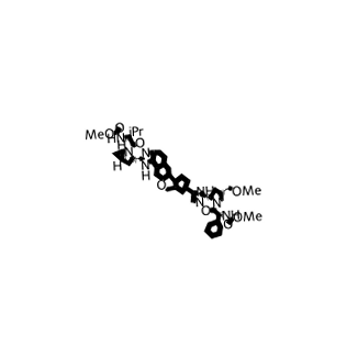 COC[C@H]1C[C@@H](c2ncc(-c3ccc4c(c3)COc3cc5c(ccc6nc([C@@H]7C[C@@H]8C[C@@H]8N7C(=O)[C@@H](NC(=O)OC)C(C)C)[nH]c65)cc3-4)[nH]2)N(C(=O)[C@H](NC(=O)OC)c2ccccc2)C1